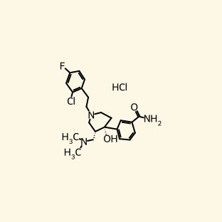 CN(C)C[C@@H]1CN(CCc2ccc(F)cc2Cl)CC[C@@]1(O)c1cccc(C(N)=O)c1.Cl